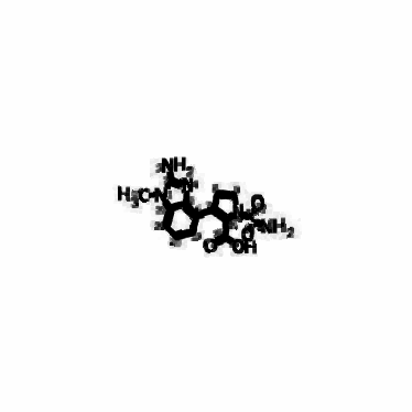 Cn1c(N)nc2c(-c3ccn(S(N)(=O)=O)c3C(=O)O)cccc21